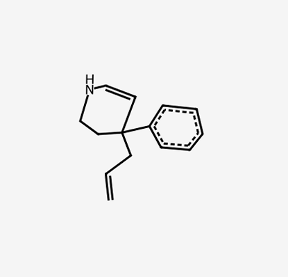 C=CCC1(c2ccccc2)C=CNCC1